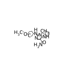 CCOC1CCC(Nc2ncc(C(N)=O)c(NC3(CC)CCCC3)n2)CC1